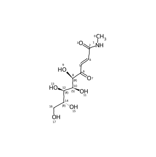 CNC(=O)C=CC(=O)[C@H](O)[C@@H](O)[C@H](O)[C@H](O)CO